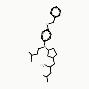 CC(C)CCN(c1ccc(OCc2ccccc2)cc1)C1CCN(CC(N)CC(C)C)C1